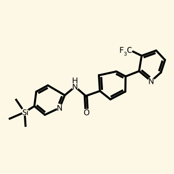 C[Si](C)(C)c1ccc(NC(=O)c2ccc(-c3ncccc3C(F)(F)F)cc2)nc1